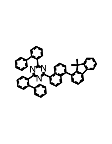 CC1(C)c2ccccc2-c2cccc(-c3cccc4c(-c5nc(-c6ccccc6-c6ccccc6)nc(-c6ccccc6-c6ccccc6)n5)cccc34)c21